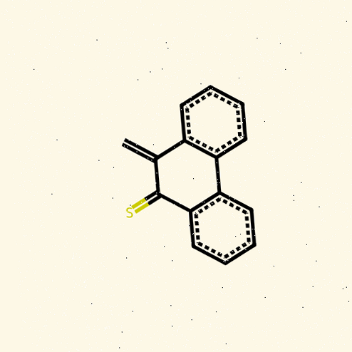 C=C1C(=S)c2ccccc2-c2ccccc21